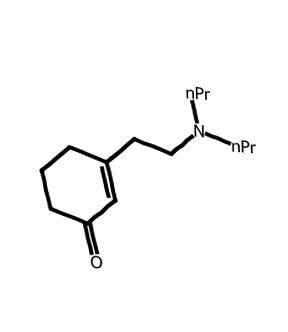 CCCN(CCC)CCC1=CC(=O)CCC1